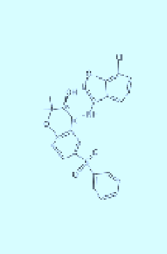 CC1(C)Oc2ccc(S(=O)(=O)c3ccccc3)cc2[C@@H](Nc2noc3c(Cl)cccc23)[C@@H]1O